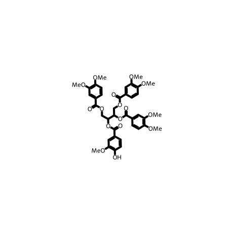 COc1cc(C(=O)OC(COC(=O)c2ccc(OC)c(OC)c2)C(COC(=O)c2ccc(OC)c(OC)c2)OC(=O)c2ccc(OC)c(OC)c2)ccc1O